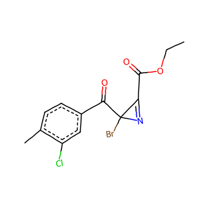 CCOC(=O)C1=NC1(Br)C(=O)c1ccc(C)c(Cl)c1